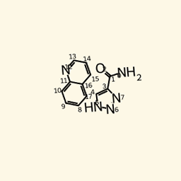 NC(=O)c1c[nH]nn1.c1ccc2ncccc2c1